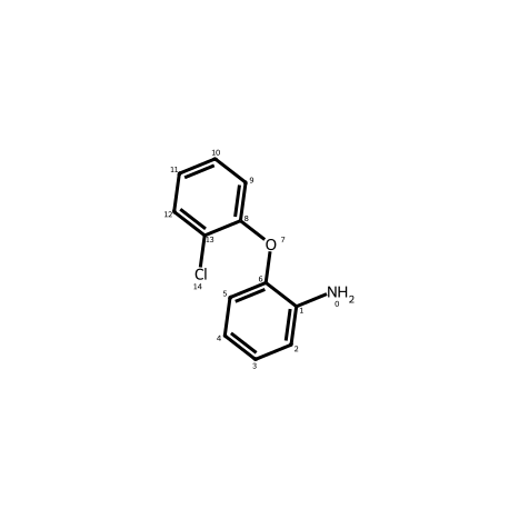 Nc1ccccc1Oc1ccccc1Cl